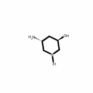 CCN1C[C@H](N)C[C@@H](O)C1